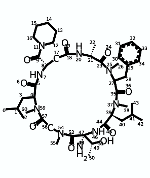 CC(C)CC1C(=O)N[C@H](C(=O)N2CCCCC2)CC(=O)N[C@H](C)C(=O)N(C)C(Cc2ccccc2)C(=O)N(C)[C@@H](CC(C)C)C(=O)N[C@@](N)([C@@H](C)O)C(=O)N(C)CC(=O)N1C